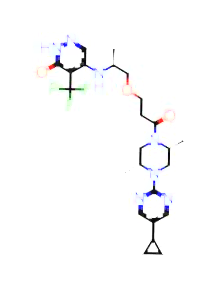 C[C@@H]1CN(C(=O)CCOC[C@H](C)Nc2cn[nH]c(=O)c2C(F)(F)F)[C@@H](C)CN1c1ncc(C2CC2)cn1